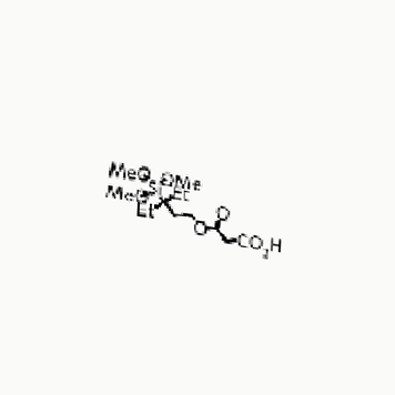 CCC(CC)(CCOC(=O)CC(=O)O)[Si](OC)(OC)OC